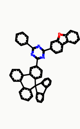 c1ccc(-c2nc(-c3ccc4c(c3)-c3ccccc3-c3ccccc3C43c4ccccc4-c4ccccc43)nc(-c3ccc4c(c3)oc3ccccc34)n2)cc1